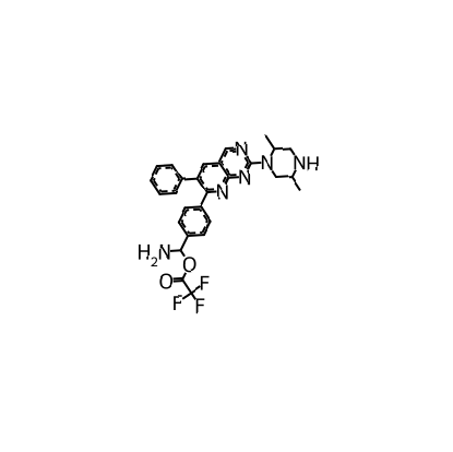 CC1CN(c2ncc3cc(-c4ccccc4)c(-c4ccc(C(N)OC(=O)C(F)(F)F)cc4)nc3n2)C(C)CN1